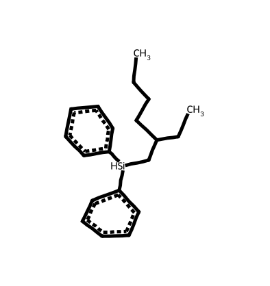 CCCCC(CC)C[SiH](c1ccccc1)c1ccccc1